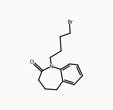 O=C1CCCc2ccccc2N1CCCCBr